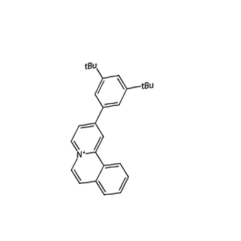 CC(C)(C)c1cc(-c2cc[n+]3ccc4ccccc4c3c2)cc(C(C)(C)C)c1